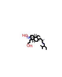 CCC(/C=C/[C@@H](C)[C@H]1CC[C@H]2[C@@H]3CC/C(=N\O)[C@](C)(CCCO)[C@H]3CC[C@]12C)C(C)C